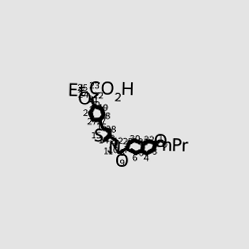 CCCOc1ccc2cc(C(=O)N(C)Cc3csc(-c4ccc([C@H](CC(=O)O)OCC)cc4)c3)ccc2c1